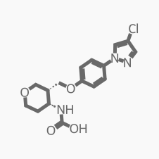 O=C(O)N[C@@H]1CCOC[C@@H]1COc1ccc(-n2cc(Cl)cn2)cc1